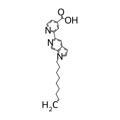 C=CCCCCCCCn1ccc2cc(-c3cc(C(=O)O)ccn3)ncc21